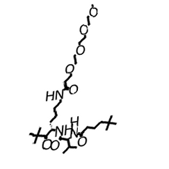 COCCOCCOCCOCCC(=O)NCCCC[C@H](NC(=O)[C@@H](NC(=O)CCCC(C)(C)C)C(C)C)C(=O)C(C)(C)C